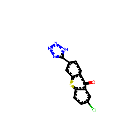 O=c1c2ccc(-c3nnn[nH]3)cc2sc2ccc(Cl)cc12